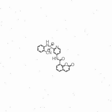 N#Cc1ccccc1NS(=O)(=O)c1cc(NC(=O)c2cccc3ccc(=O)oc23)ccn1